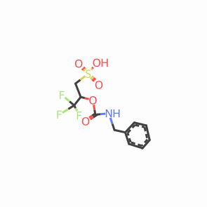 O=C(NCc1ccccc1)OC(CS(=O)(=O)O)C(F)(F)F